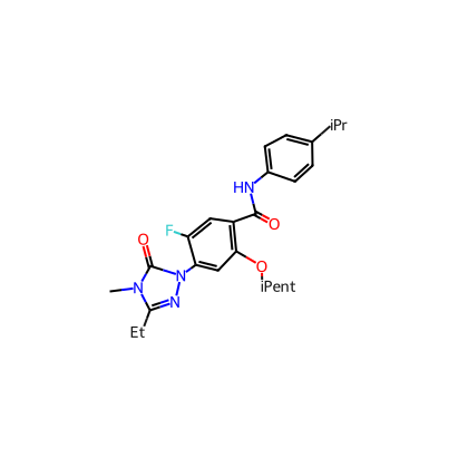 CCCC(C)Oc1cc(-n2nc(CC)n(C)c2=O)c(F)cc1C(=O)Nc1ccc(C(C)C)cc1